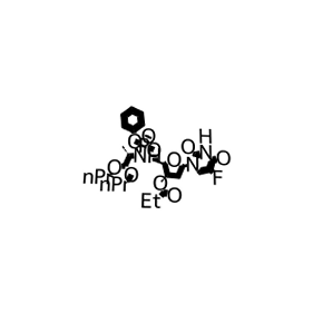 CCCOC(OCCC)[C@H](C)NP(=O)(OC[C@H]1O[C@@H](n2cc(F)c(=O)[nH]c2=O)C[C@@H]1OC(=O)CC)Oc1ccccc1